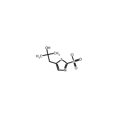 CC(C)(O)Cc1cnc(S(=O)(=O)Cl)s1